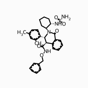 Cc1ccc([C@H]2[C@H](C(=O)NOCc3ccccc3)c3ccccc3C(=O)N2[C@H]2CCCC[C@@H]2NS(N)(=O)=O)c(C)c1